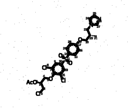 CC(=O)O[C@H](CCl)COc1c(Cl)cc(S(=O)(=O)c2ccc(OC[C@@H](C)Cn3ccnc3)cc2)cc1Cl